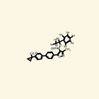 [2H]c1c([2H])c([2H])c(C([2H])(ON(C=O)c2c(C)noc2-c2ccc(-c3ccc(C4(C(=O)O)CC4)cc3)cc2)C([2H])([2H])[2H])c([2H])c1[2H]